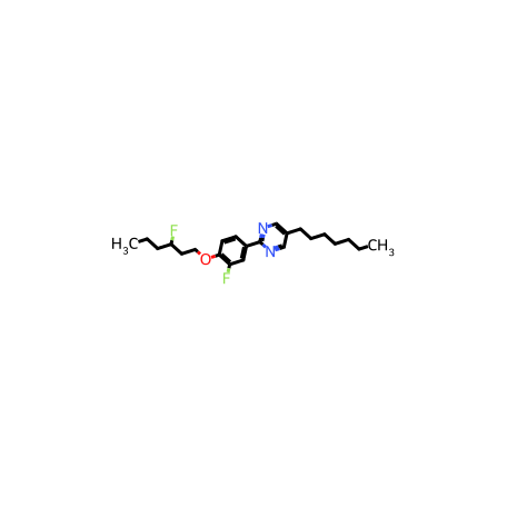 CCCCCCCc1cnc(-c2ccc(OCCC(F)CCC)c(F)c2)nc1